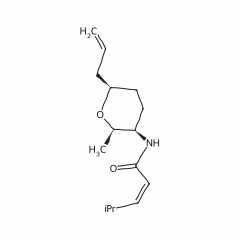 C=CC[C@H]1CC[C@@H](NC(=O)/C=C\C(C)C)[C@@H](C)O1